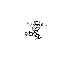 COc1ncnc(OC)c1C(=O)Nc1nc2c(s1)C1(CCC(C(N)=O)CC1)Oc1cc(C(F)(F)F)ccc1-2